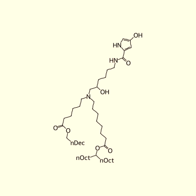 CCCCCCCCCCCOC(=O)CCCCCN(CCCCCCCC(=O)OC(CCCCCCCC)CCCCCCCC)CC(O)CCCCNC(=O)c1cc(O)c[nH]1